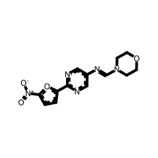 O=[N+]([O-])c1ccc(-c2ncc(/N=C/N3CCOCC3)cn2)o1